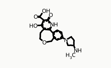 CNC1CCN(c2ccc3c(c2)COCCc2c-3[nH]c(=O)c(C(=O)O)c2O)C1